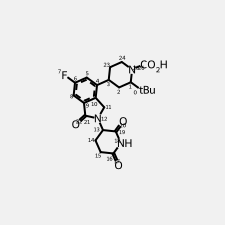 CC(C)(C)C1CC(c2cc(F)cc3c2CN(C2CCC(=O)NC2=O)C3=O)CCN1C(=O)O